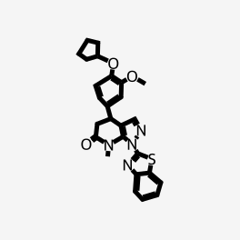 COc1cc(C2CC(=O)N(C)c3c2cnn3-c2nc3ccccc3s2)ccc1OC1CCCC1